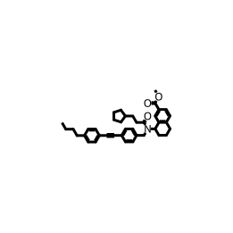 CCCCc1ccc(C#Cc2ccc(CN(C(=O)CCC3CCCC3)C3CCCc4ccc(C(=O)OC)cc43)cc2)cc1